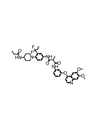 CCC(=O)NC1CCN(c2ccc(NC(=O)C(C)C(=O)Nc3cccc(Oc4ccnc5cc(OC)c(OC)cc45)c3)cc2C(F)(F)F)CC1